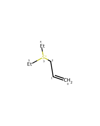 C=CC[S+](CC)CC